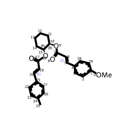 COc1ccc(/C=C/C(=O)O[C@@H]2CCCC[C@H]2OC(=O)/C=C/c2ccc(C)cc2)cc1